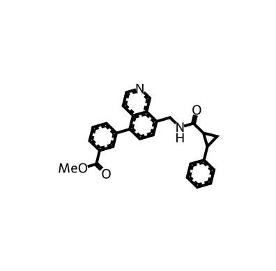 COC(=O)c1cccc(-c2ccc(CNC(=O)C3CC3c3ccccc3)c3cnccc23)c1